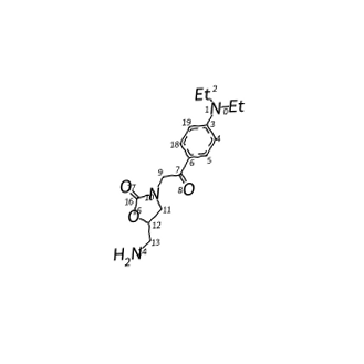 CCN(CC)c1ccc(C(=O)CN2CC(CN)OC2=O)cc1